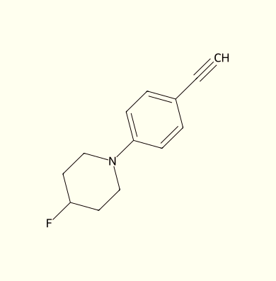 C#Cc1ccc(N2CCC(F)CC2)cc1